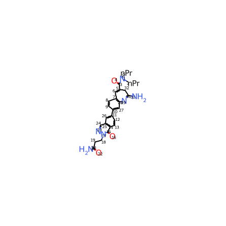 CCCN(CCC)C(=O)C1=Cc2ccc(-c3ccc4c(=O)n(CCC(N)=O)ncc4c3)cc2N=C(N)C1